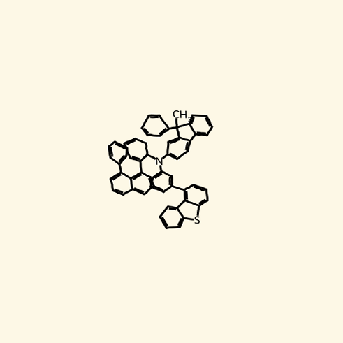 CC1(c2ccccc2)c2ccccc2-c2ccc(N(c3cccc(-c4cccc5sc6ccccc6c45)c3)C3CC=CC=C3c3cccc4cccc(-c5ccccc5)c34)cc21